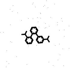 CC(C)c1cccc(-c2ccccc2-c2ccccc2C(C)C)c1